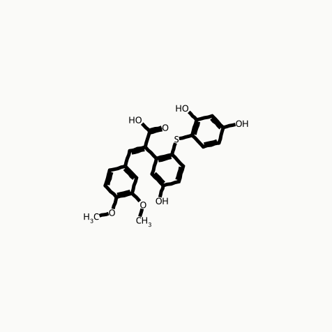 COc1ccc(/C=C(/C(=O)O)c2cc(O)ccc2Sc2ccc(O)cc2O)cc1OC